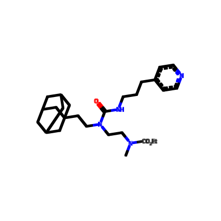 CCOC(=O)N(C)CCN(CCC12CC3CC(CC(C3)C1)C2)C(=O)NCCCc1ccncc1